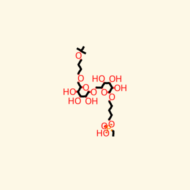 CCP(=O)(O)OCCCCCOC1OC(COC2OC(COCCCCOC(C)(C)C)C(O)C(O)C2O)C(O)C(O)C1O